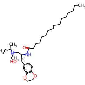 CCCCCCCCCCCCCCCC(=O)NC(CN(C)C(C)C)[C@@H](O)c1ccc2c(c1)OCCO2